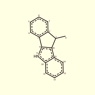 CC1c2ccccc2-c2[nH]c3ccccc3c21